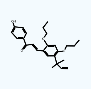 C=CC(C)(C)c1cc(C=CC(=O)c2ccc(O)cc2)c(OCCC)cc1OCCC